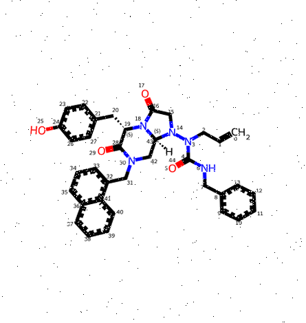 C=CCN(C(=O)NCc1ccccc1)N1CC(=O)N2[C@@H](Cc3ccc(O)cc3)C(=O)N(Cc3cccc4ccccc34)C[C@@H]21